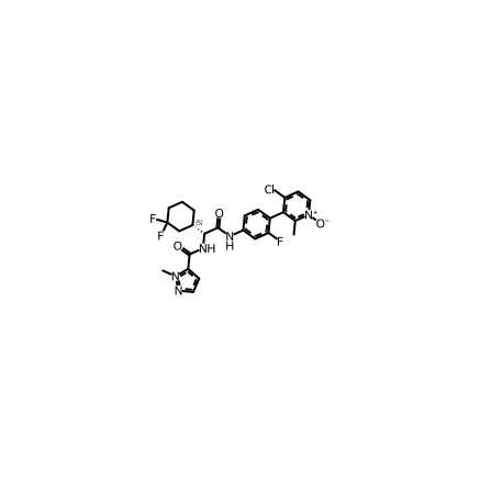 Cc1c(-c2ccc(NC(=O)C(NC(=O)c3ccnn3C)[C@H]3CCCC(F)(F)C3)cc2F)c(Cl)cc[n+]1[O-]